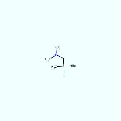 CN(C)CC(C)(F)C(C)(C)C